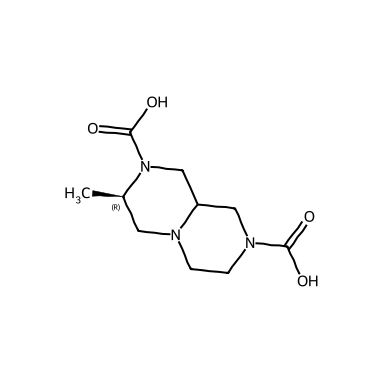 C[C@@H]1CN2CCN(C(=O)O)CC2CN1C(=O)O